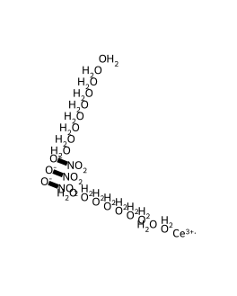 O.O.O.O.O.O.O.O.O.O.O.O.O.O.O.O.O.O.O=[N+]([O-])[O-].O=[N+]([O-])[O-].O=[N+]([O-])[O-].[Ce+3]